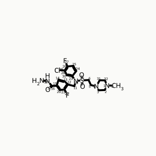 CN1CCN(CCS(=O)(=O)N(Cc2ccc(C(=O)NN)cc2F)c2ccc(F)c(Cl)c2)CC1